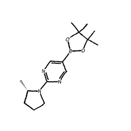 C[C@H]1CCCN1c1ncc(B2OC(C)(C)C(C)(C)O2)cn1